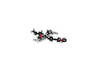 COC(=O)NC(C(=O)NC(Cc1ccc(C#Cc2ccc(N3CC4CCC(C3)N4C)nc2)cc1)C(O)CN(Cc1c(F)cc(-c2cnn(C(F)F)c2)cc1F)NC(=O)C(NC(=O)O)C(C)(C)C(F)(F)F)C(C)(C)C(F)(F)F